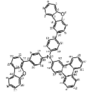 c1ccc2c(c1)oc1ccc(-c3ccc(N(c4ccc(-c5cccc6c5oc5ccccc56)cc4)c4ccc5c6ccccc6c6ccccc6c5c4)cc3)cc12